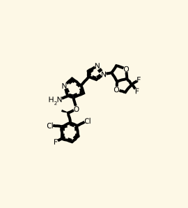 C[C@@H](Oc1cc(-c2cnn(C3COC4C3OCC4(F)F)c2)cnc1N)c1c(Cl)ccc(F)c1Cl